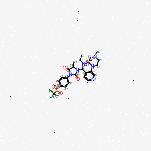 CCN(CC)C(c1ccncc1N1CCN(C)CC1)N1C(=O)N(c2ccc(S(=O)(=O)C(F)(F)F)cc2)C(=O)C1C